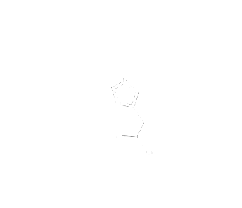 CC(C)(C)C(O)Cc1cnco1